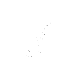 O=C(C=C(O)c1nc[nH]n1)c1csc(S(=O)(=O)c2ccc(F)cc2)n1